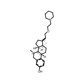 C[C@@H]1Cc2cc(O)ccc2[C@H]2CC[C@]3(C)/C(=C/COCCN4CCCCC4)CC[C@H]3[C@H]12